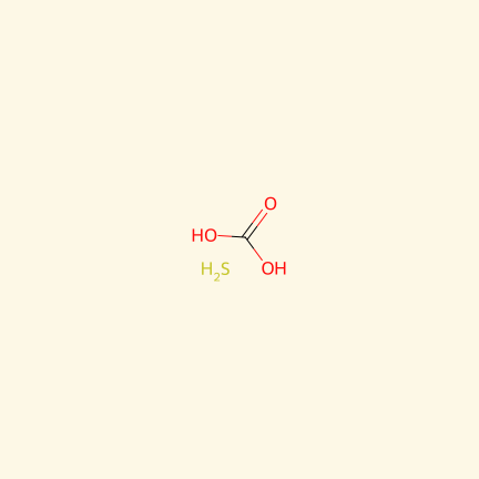 O=C(O)O.S